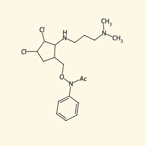 CC(=O)N(OCC1CC(Cl)C(Cl)C1NCCCN(C)C)c1ccccc1